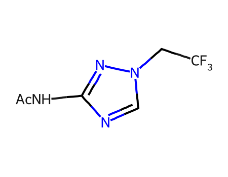 CC(=O)Nc1ncn(CC(F)(F)F)n1